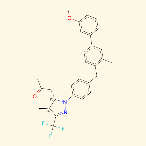 COc1cccc(-c2ccc(Cc3ccc(N4N=C(C(F)(F)F)[C@@H](C)[C@@H]4CC(C)=O)cc3)c(C)c2)c1